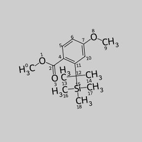 COC(=O)c1ccc(OC)cc1C(C)(C)[Si](C)(C)C